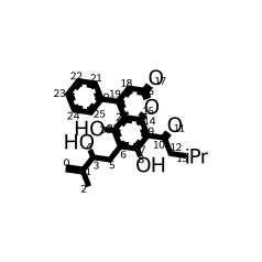 C=C(C)C(O)Cc1c(O)c(C(=O)CC(C)C)c2oc(=O)cc(-c3ccccc3)c2c1O